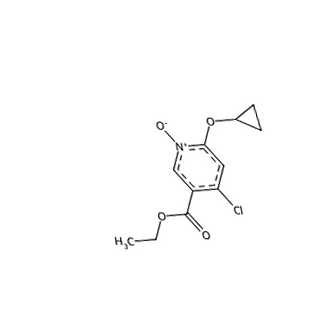 CCOC(=O)c1c[n+]([O-])c(OC2CC2)cc1Cl